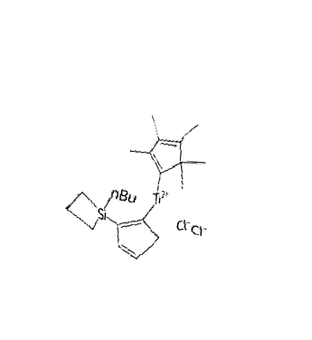 CCCC[Si]1(C2=[C]([Ti+2][C]3=C(C)C(C)=C(C)C3(C)C)CC=C2)CCC1.[Cl-].[Cl-]